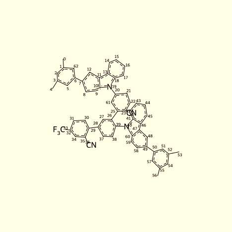 Cc1cc(C)cc(-c2ccc3c(c2)c2ccccc2n3-c2ccc(C#N)c(-c3cc(-c4ccc(C(F)(F)F)cc4C#N)ccc3-n3c4ccccc4c4cc(-c5cc(C)cc(C)c5)ccc43)c2)c1